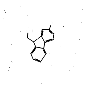 O=[N+]([O-])c1ccc2c(c1)C(CO)c1ccccc1-2